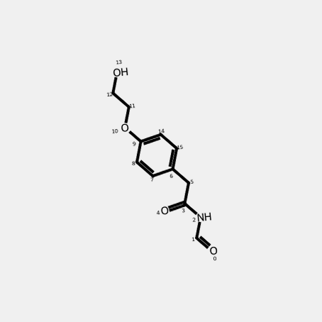 O=CNC(=O)Cc1ccc(OCCO)cc1